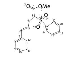 COC(=O)C(CC=Cc1ccccc1)S(=O)(=O)c1ccccc1